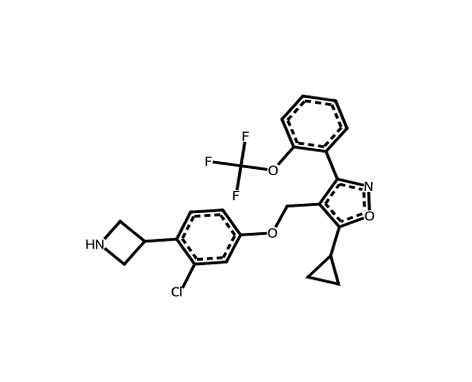 FC(F)(F)Oc1ccccc1-c1noc(C2CC2)c1COc1ccc(C2CNC2)c(Cl)c1